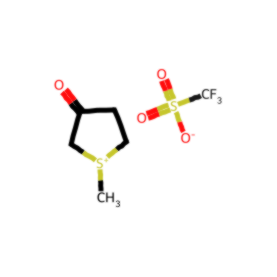 C[S+]1CCC(=O)C1.O=S(=O)([O-])C(F)(F)F